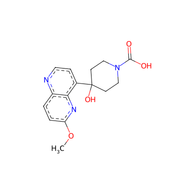 COc1ccc2nccc(C3(O)CCN(C(=O)O)CC3)c2n1